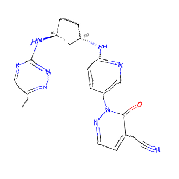 Cc1cnc(N[C@H]2CC[C@H](Nc3ccc(-n4nccc(C#N)c4=O)cn3)C2)nn1